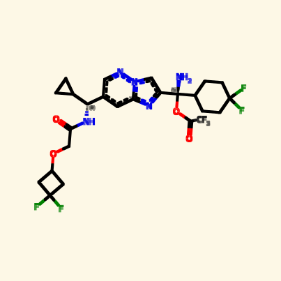 N[C@@](OC(=O)C(F)(F)F)(c1cn2ncc([C@H](NC(=O)COC3CC(F)(F)C3)C3CC3)cc2n1)C1CCC(F)(F)CC1